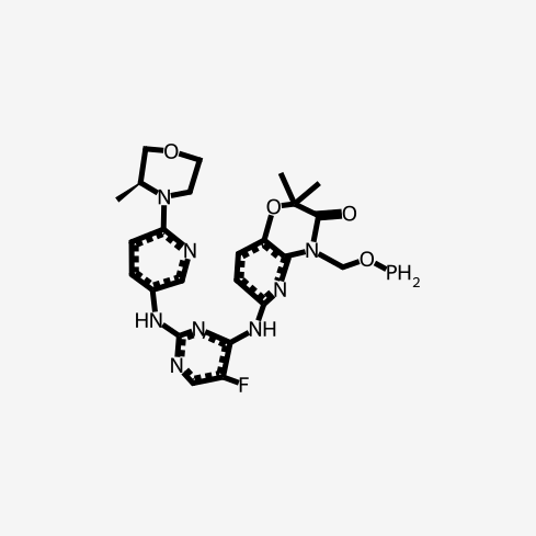 C[C@H]1COCCN1c1ccc(Nc2ncc(F)c(Nc3ccc4c(n3)N(COP)C(=O)C(C)(C)O4)n2)cn1